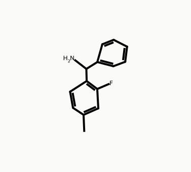 Cc1ccc(C(N)c2ccccc2)c(F)c1